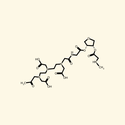 CNCC(=O)O[C@H]1COC[C@H]1OC(=O)CNC(=O)CN(CCN(CCN(CC(C)=O)CC(=O)O)CC(=O)O)CC(=O)O